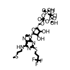 CSCCNc1nc(SCCC(F)(F)F)nc2c1ncn2[C@@H]1O[C@H](COP2(=O)OP(=O)(O)C(Cl)(Cl)P(=O)(O)O2)C(O)C1O